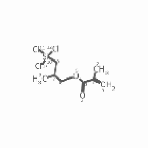 C=C(C)C(=O)OCC(C)C[Si](Cl)(Cl)Cl